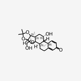 CC1(C)O[C@@H]2CC3[C@@H]4CCC5=CC(=O)C=C[C@]5(C)[C@H]4[C@@H](O)C[C@]3(C)[C@]2(C(=O)CO)O1